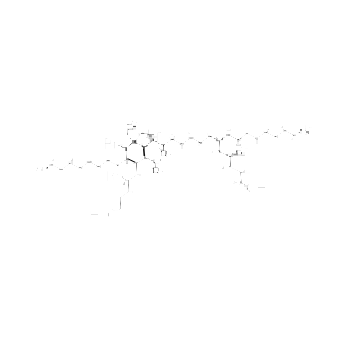 CCCCC(Br)CC1=C(CCCCCCCCBr)C(Br)C(CBr)(CBr)C(CC(Br)CCCCCC(CCCCCCCCBr)CC(Br)CCCC)=C1CBr